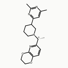 Cc1cc(C2CCCN([C@H](C)c3ccc4c(n3)OCCO4)C2)nc(C)n1